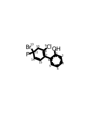 Oc1ccccc1C1=C(Cl)CC(F)(Br)C=C1